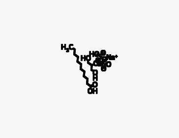 CCCCCCCCCCCC(=O)O.O=S(=O)([O-])OS(=O)(=O)O.OCC(O)CO.[Na+]